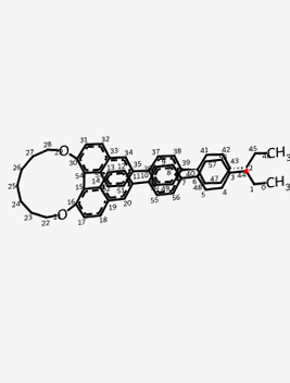 CCCC1CCC(c2ccc(-c3ccc4c5c(ccc4c3)OCCCCCCCOc3ccc4cc(-c6ccc([C@H]7CC[C@H](CCC)CC7)cc6)ccc4c3-5)cc2)CC1